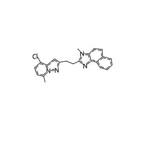 Cc1ccc(Cl)c2cc(CCc3nc4c5ccccc5ccc4n3C)nn12